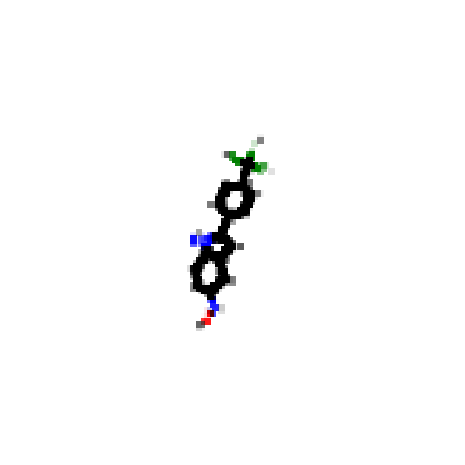 O=Nc1ccc2[nH]c(-c3ccc(C(F)(F)F)cc3)cc2c1